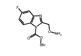 CC(C)(C)OC(=O)n1c(CON)nc2cc(F)ccc21